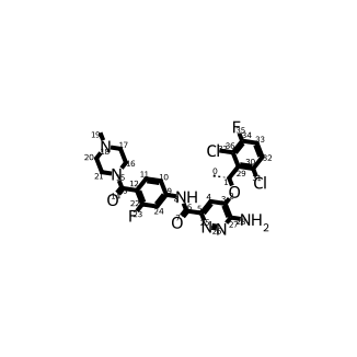 C[C@@H](Oc1cc(C(=O)Nc2ccc(C(=O)N3CCN(C)CC3)c(F)c2)nnc1N)c1c(Cl)ccc(F)c1Cl